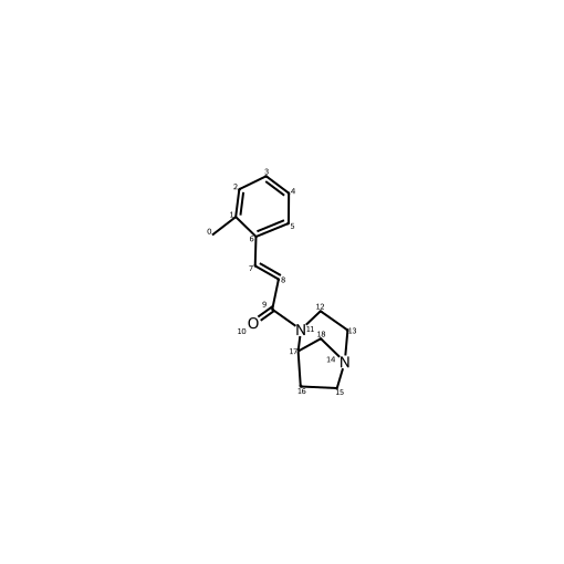 Cc1ccccc1C=CC(=O)N1CCN2CCC1C2